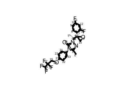 Cc1nn([C@H](C)[C@]2(c3ccc(F)cc3F)CO2)c(=O)n1-c1ccc(OCC(F)(F)C(F)F)cc1